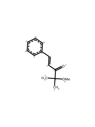 COC(C)(C)C(=O)C=Cc1ccccc1